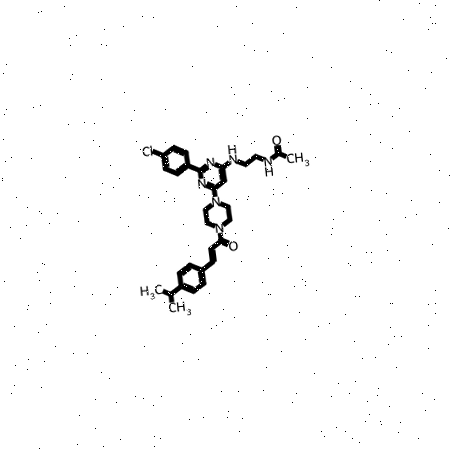 CC(=O)NCCNc1cc(N2CCN(C(=O)/C=C/c3ccc(C(C)C)cc3)CC2)nc(-c2ccc(Cl)cc2)n1